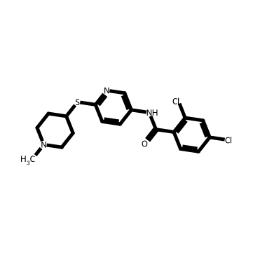 CN1CCC(Sc2ccc(NC(=O)c3ccc(Cl)cc3Cl)cn2)CC1